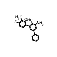 Cc1cc(-c2cc(-c3ccccc3)cc(C)c2C=O)ccc1F